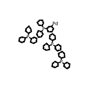 [Pd][c]1cccc(P(c2ccccc2)c2ccccc2)c1.c1ccc(P(c2ccccc2)c2ccccc2)cc1.c1ccc(P(c2ccccc2)c2ccccc2)cc1.c1ccc(P(c2ccccc2)c2ccccc2)cc1